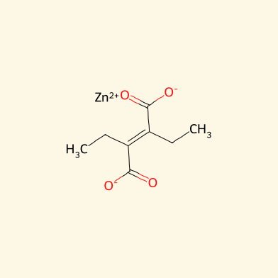 CC/C(C(=O)[O-])=C(/CC)C(=O)[O-].[Zn+2]